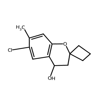 Cc1cc2c(cc1Cl)C(O)CC1(CCC1)O2